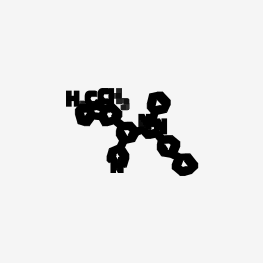 CC1(C)c2ccccc2-c2cc(-c3cc(-c4ccncc4)cc(-c4cc(-c5ccc(-c6ccccc6)cc5)nc(-c5ccccc5)n4)c3)ccc21